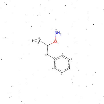 NOC(Cc1ccccc1)C(=O)O